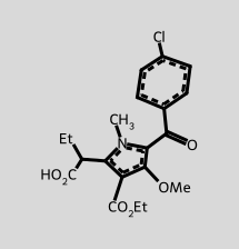 CCOC(=O)c1c(OC)c(C(=O)c2ccc(Cl)cc2)n(C)c1C(CC)C(=O)O